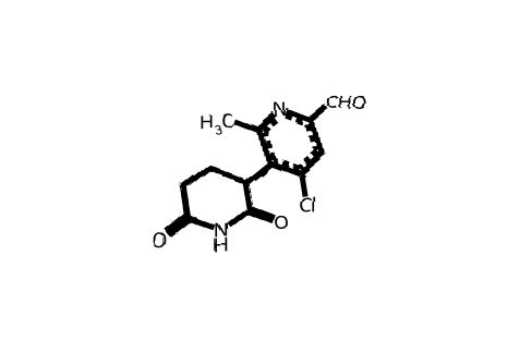 Cc1nc(C=O)cc(Cl)c1C1CCC(=O)NC1=O